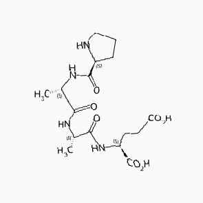 C[C@H](NC(=O)[C@H](C)NC(=O)[C@@H]1CCCN1)C(=O)N[C@@H](CCC(=O)O)C(=O)O